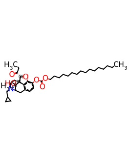 CCCCCCCCCCCCCCCCOC(=O)Oc1ccc2c3c1O[C@@H](C(=O)CC)[C@]31CCN(CC3CC3)C(C2)[C@@]1(C)O